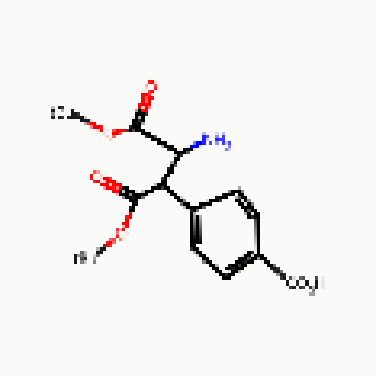 CC(C)(C)OC(=O)C(N)C(C(=O)OC(C)(C)C)c1ccc(C(=O)O)cc1